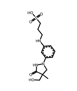 CC1(CO)CN(c2cccc(NCCCS(=O)(=O)O)c2)NC1=O